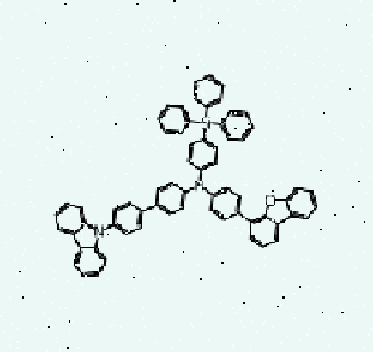 c1ccc([Si](c2ccccc2)(c2ccccc2)c2ccc(N(c3ccc(-c4ccc(-n5c6ccccc6c6ccccc65)cc4)cc3)c3ccc(-c4cccc5c4oc4ccccc45)cc3)cc2)cc1